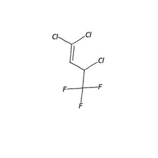 FC(F)(F)C(Cl)C=C(Cl)Cl